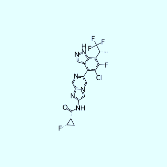 C[C@H](c1c(F)c(Cl)c(-c2cn3cc(NC(=O)[C@@H]4C[C@@H]4F)nc3cn2)c2cn[nH]c12)C(F)(F)F